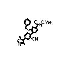 CON(C)C(=O)c1ccc2c3c(C#N)cc(-c4c(C)noc4C)cc3n(Cc3ccccc3)c2c1